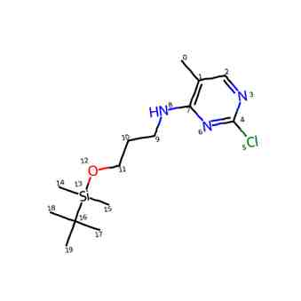 Cc1cnc(Cl)nc1NCCCO[Si](C)(C)C(C)(C)C